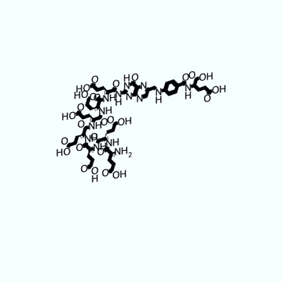 N[C@@H](CCC(=O)O)C(=O)N[C@@H](CCC(=O)O)C(=O)N[C@@H](CCC(=O)O)C(=O)N[C@@H](CCC(=O)O)C(=O)N[C@@H](CCC(=O)O)C(=O)N[C@@H](CCC(=O)O)C(=O)N[C@@H](CCC(=O)O)C(=O)Nc1nc2ncc(CNc3ccc(C(=O)NC(CCC(=O)O)C(=O)O)cc3)nc2c(=O)[nH]1